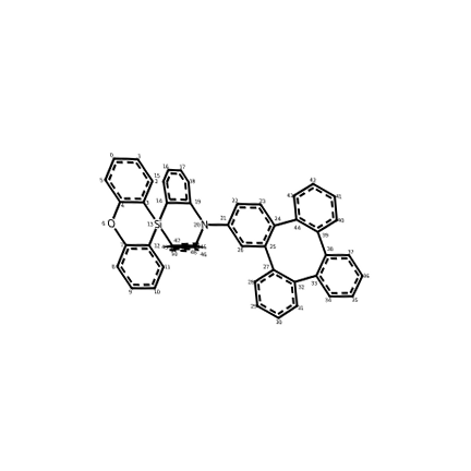 c1ccc2c(c1)Oc1ccccc1[Si]21c2ccccc2N(c2ccc3c(c2)-c2ccccc2-c2ccccc2-c2ccccc2-3)c2ccccc21